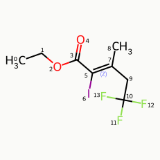 CCOC(=O)/C(I)=C(\C)CC(F)(F)F